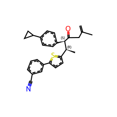 C=C(C)CC(=O)[C@H](c1ccc(C2CC2)cc1)[C@@H](C)c1ccc(-c2cccc(C#N)c2)s1